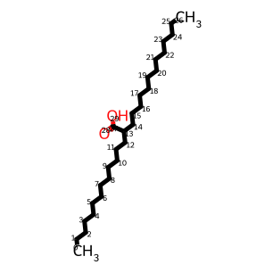 CCCCCCCCCCCCCC(CCCCCCCCCCCCC)C(=O)O